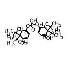 CC(C)(C)C1(C(C)(C)C)CC(OP(=O)(O)OC2=CC=C(O)C(C(C)(C)C)(C(C)(C)C)C2)=CC=C1O